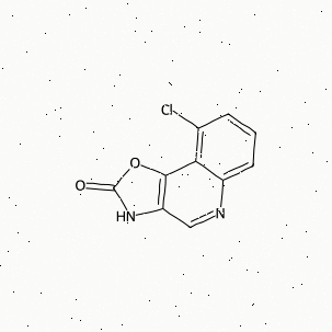 O=c1[nH]c2cnc3cccc(Cl)c3c2o1